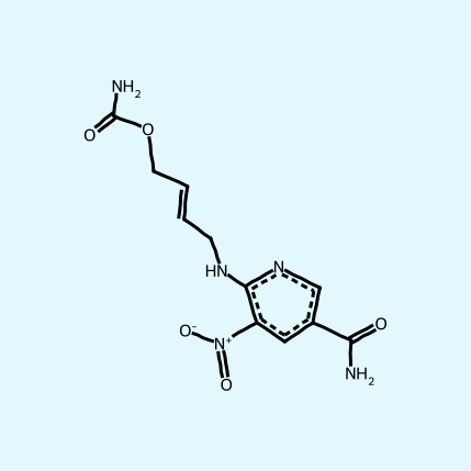 NC(=O)OC/C=C/CNc1ncc(C(N)=O)cc1[N+](=O)[O-]